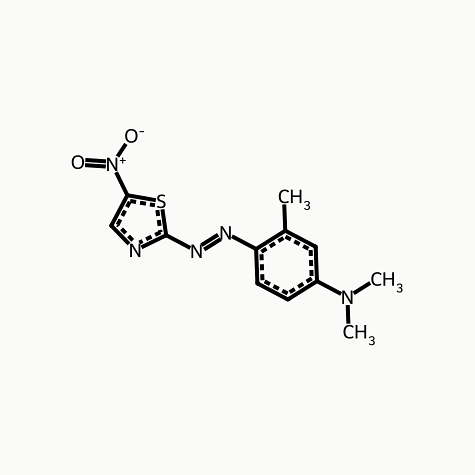 Cc1cc(N(C)C)ccc1N=Nc1ncc([N+](=O)[O-])s1